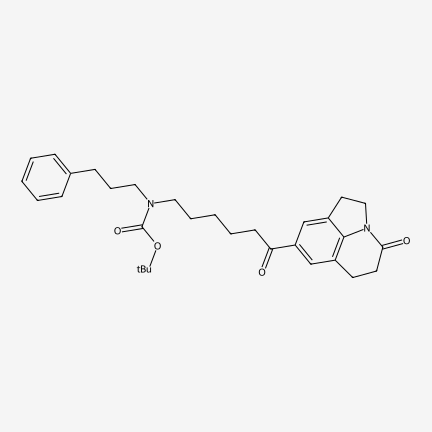 CC(C)(C)OC(=O)N(CCCCCC(=O)c1cc2c3c(c1)CCN3C(=O)CC2)CCCc1ccccc1